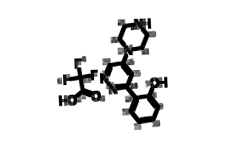 O=C(O)C(F)(F)F.Oc1ccccc1-c1cc(N2CCNCC2)cnn1